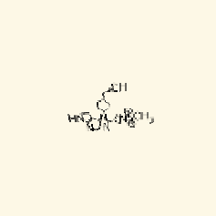 C#CC[C@H]1CC[C@H](n2c(C3CN(S(C)(=O)=O)C3)nc3cnc4[nH]ccc4c32)CC1